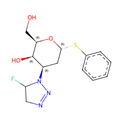 OC[C@H]1O[C@H](Sc2ccccc2)C[C@@H](N2N=NCC2F)[C@H]1O